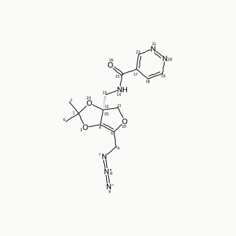 CC1(C)OC2=C(CN=[N+]=[N-])OC[C@]2(CNC(=O)c2ccnnc2)O1